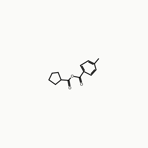 Cc1ccc(C(=O)OC(=O)C2CCCC2)cc1